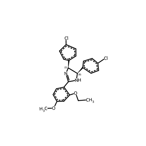 CCOc1cc(OC)ccc1C1=N[C@@H](c2ccc(Cl)cc2)[C@@H](c2ccc(Cl)cc2)N1